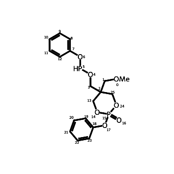 COCC1(COPOc2ccccc2)COP(=O)(Oc2ccccc2)OC1